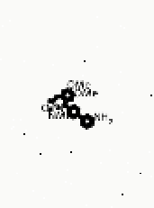 CNC(=O)N1N=C(c2ccc(-c3cccc(N)c3)cc2)c2cc(OC)c(OC)cc2CC1C